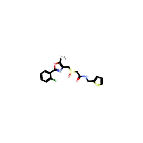 Cc1oc(-c2ccccc2Cl)nc1C[S+]([O-])CC(=O)NCc1cccs1